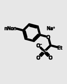 CCCCCCCCCc1ccc(OC(CC)S(=O)(=O)[O-])cc1.[Na+]